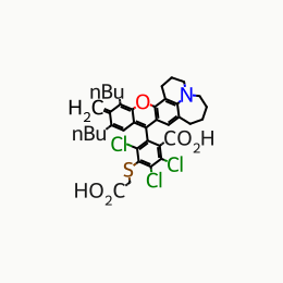 C=c1c(CCCC)cc2c(c1CCCC)Oc1c(cc3c4c1CCCN4CCCC3)C=2c1c(Cl)c(SCC(=O)O)c(Cl)c(Cl)c1C(=O)O